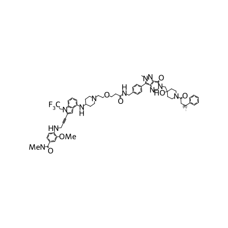 CNC(=O)c1ccc(NCC#Cc2cc3c(NC4CCN(CCOCCC(=O)NCc5ccc(-c6c7ncn(CC8(O)CCN(C(=O)C[C@@H](C)c9ccccc9)CC8)c(=O)c7nn6C)cc5)CC4)cccc3n2CC(F)(F)F)c(OC)c1